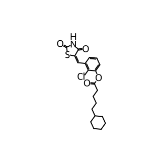 O=C(CCCCC1CCCCC1)Oc1cccc(C=C2SC(=O)NC2=O)c1Cl